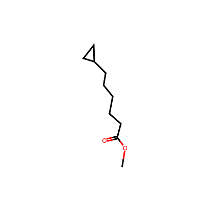 COC(=O)CCCCCC1[CH]C1